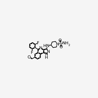 NS(=O)(=O)N1CCC(Nc2n[nH]c3c2nc(-c2c(F)cccc2F)c2cc(C=O)ccc23)CC1